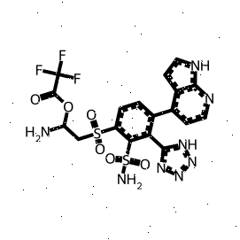 NC(CS(=O)(=O)c1ccc(-c2ccnc3[nH]ccc23)c(-c2nnn[nH]2)c1S(N)(=O)=O)OC(=O)C(F)(F)F